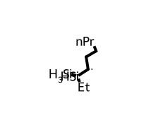 CCCCC[CH][SiH]([SiH3])CC